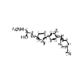 CC(=O)NC[C@H](O)CNc1ccc(-c2ccc(CN3CCN(CC#N)CC3)c(F)c2)c(F)c1